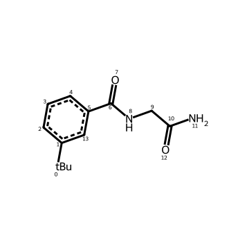 CC(C)(C)c1cccc(C(=O)NCC(N)=O)c1